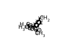 C=Cc1ccc2cc(OC(C)=O)c(C(=O)OC(C)(C)C)cc2c1